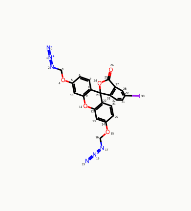 [N-]=[N+]=NCOc1ccc2c(c1)Oc1cc(OCN=[N+]=[N-])ccc1C21OC(=O)c2cc(I)ccc21